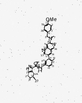 COc1ccc(CN(C)c2cc3ncc(-c4cc(NC(=O)c5noc6c5CC(C)CC6)ccc4C)cc3cn2)cc1